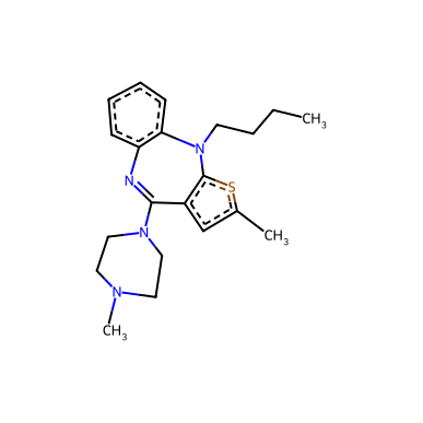 CCCCN1c2ccccc2N=C(N2CCN(C)CC2)c2cc(C)sc21